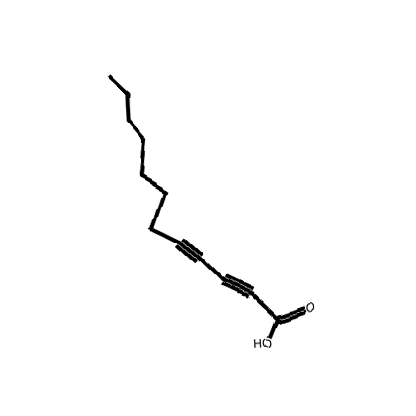 CCCCCCCC#CC#CC(=O)O